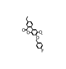 CCc1ccc2c(c1)c(=O)oc1cc(OCc3ccc(F)cc3)c(OC)cc12